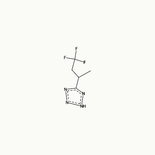 CC(CC(F)(F)F)c1nn[nH]n1